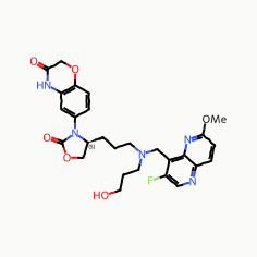 COc1ccc2ncc(F)c(CN(CCCO)CCC[C@H]3COC(=O)N3c3ccc4c(c3)NC(=O)CO4)c2n1